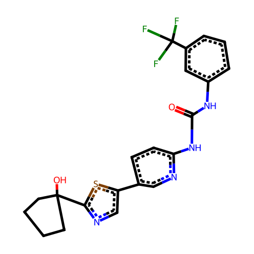 O=C(Nc1cccc(C(F)(F)F)c1)Nc1ccc(-c2cnc(C3(O)CCCC3)s2)cn1